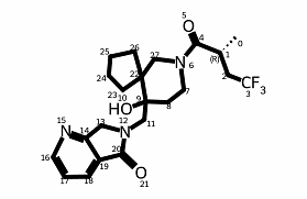 C[C@H](CC(F)(F)F)C(=O)N1CCC(O)(CN2Cc3ncccc3C2=O)C2(CCCC2)C1